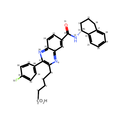 O=C(O)CCCCc1nc2cc(C(=O)N[C@@H]3CCCc4ccccc43)ccc2nc1-c1ccc(F)cc1